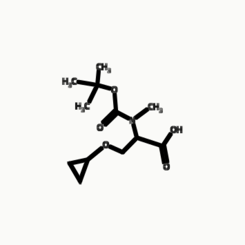 CN(C(=O)OC(C)(C)C)C(COC1CC1)C(=O)O